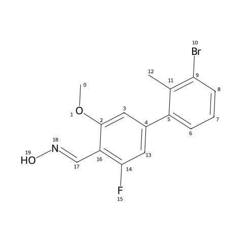 COc1cc(-c2cccc(Br)c2C)cc(F)c1/C=N/O